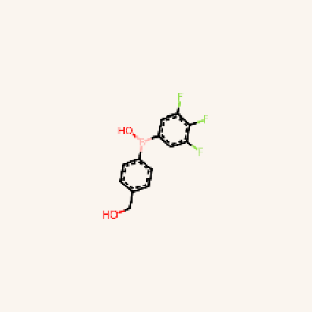 OCc1ccc(B(O)c2cc(F)c(F)c(F)c2)cc1